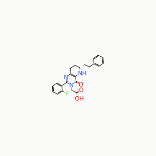 O=C(O)Cn1c(-c2ccccc2F)nc2c(c1=O)N[C@@H](CCc1ccccc1)CC2